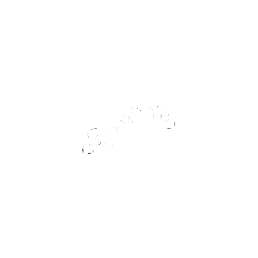 CC(C)(CO[Si](c1ccccc1)(c1ccccc1)C(C)(C)C)N1CCc2nc(C(=O)N[C@@H]3CCC[C@H]3NC(=O)c3cc4cc(Cl)ccc4[nH]3)sc2C1